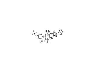 COCC(Nc1nc(N)n2nc(-c3ccco3)nc2n1)C(=O)N1CCN(CC(C)(C)F)CC1